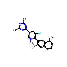 Cc1cc2cccc(C(C)(C)C)c2cc1-c1c(F)cc(-c2nc(C(C)C)nc(C(C)C)n2)c[n+]1C